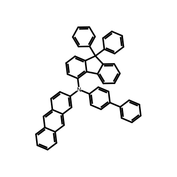 c1ccc(-c2ccc(N(c3ccc4cc5ccccc5cc4c3)c3cccc4c3-c3ccccc3C4(c3ccccc3)c3ccccc3)cc2)cc1